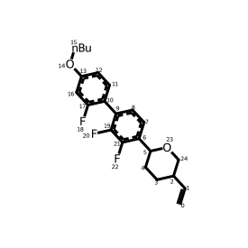 C=CC1CCC(c2ccc(-c3ccc(OCCCC)cc3F)c(F)c2F)OC1